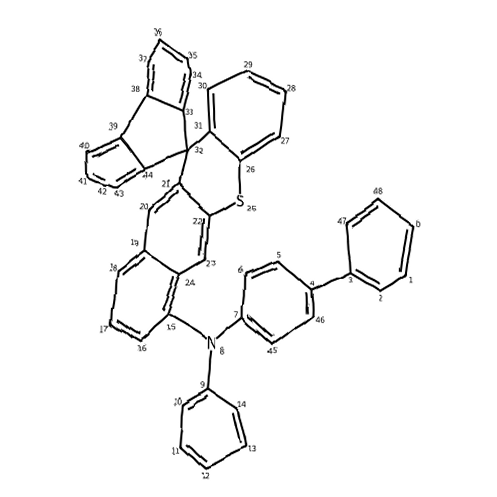 c1ccc(-c2ccc(N(c3ccccc3)c3cccc4cc5c(cc34)Sc3ccccc3C53c4ccccc4-c4ccccc43)cc2)cc1